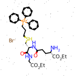 CCOC(=O)CNC(=O)[C@H](C[SH]=CCC[P+](c1ccccc1)(c1ccccc1)c1ccccc1)NC(=O)CC[C@H](N)C(=O)OCC.[Br-]